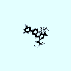 C[C@@H](O)C(=O)N1CC2(CC2)C(NS(C)(=O)=O)C1Cc1cccc(-c2cc(F)cc(F)c2)c1